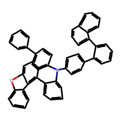 c1ccc(-c2ccc(N(c3ccc(-c4ccccc4-c4cccc5ccccc45)cc3)c3ccccc3-c3cccc4oc5ccccc5c34)cc2)cc1